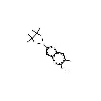 COc1nc2cc(B3OC(C)(C)C(C)(C)O3)[nH]c2cc1Cl